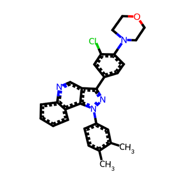 Cc1ccc(-n2nc(-c3ccc(N4CCOCC4)c(Cl)c3)c3cnc4ccccc4c32)cc1C